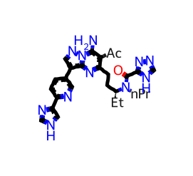 CCCN(C(=O)c1nnc[nH]1)[C@H](CC)CCc1nc2c(-c3ccc(-c4c[nH]cn4)nc3)cnn2c(N)c1C(C)=O